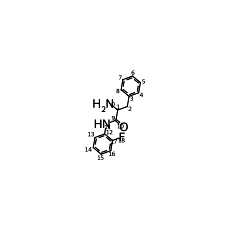 NC(Cc1ccccc1)C(=O)Nc1ccccc1F